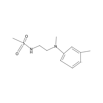 Cc1[c]ccc(N(C)CCNS(C)(=O)=O)c1